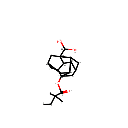 CCC(C)(C)C(=O)OC12CC3CC4C1CC1CC2C(C3)C4(C(O)O)C1